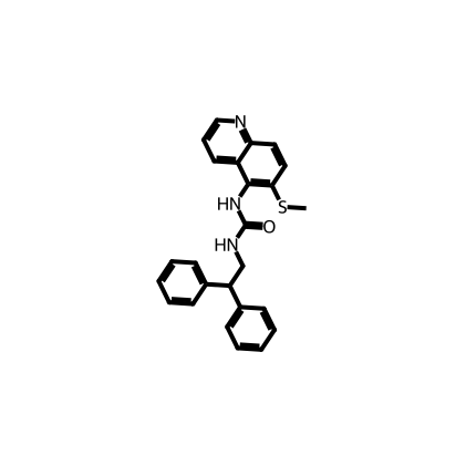 CSc1ccc2ncccc2c1NC(=O)NCC(c1ccccc1)c1ccccc1